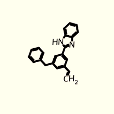 C=Cc1cc(Cc2ccccc2)cc(-c2nc3ccccc3[nH]2)c1